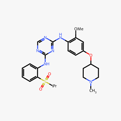 COc1cc(OC2CCN(C)CC2)ccc1Nc1ncnc(Nc2ccccc2S(=O)(=O)C(C)C)n1